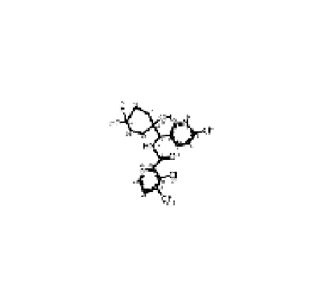 O=C(NC(c1ccc(Cl)nc1)C1(O)CCC(F)(F)CC1)c1nccc(C(F)(F)F)c1Cl